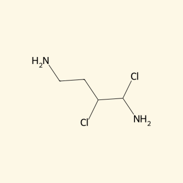 NCCC(Cl)C(N)Cl